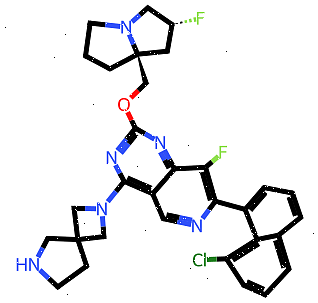 Fc1c(-c2cccc3cccc(Cl)c23)ncc2c(N3CC4(CCNC4)C3)nc(OC[C@@]34CCCN3C[C@H](F)C4)nc12